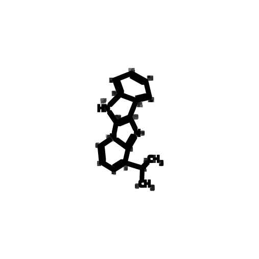 CC(C)c1cccn2c1nc1c3ccccc3[nH]c12